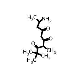 CC(N)CC(=O)CC(=O)C(C)C(=O)C(C)(C)C